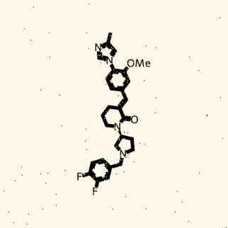 COc1cc(C=C2CCCN([C@H]3CCN(Cc4ccc(F)c(F)c4)C3)C2=O)ccc1-n1cnc(C)c1